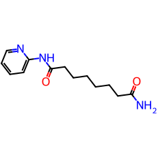 NC(=O)CCCCCCC(=O)Nc1ccccn1